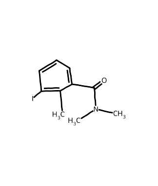 Cc1c(I)cccc1C(=O)N(C)C